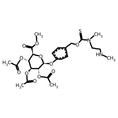 CNCCN(C)C(=S)OCc1ccc(O[C@@H]2O[C@H](C(=O)OC)[C@@H](OC(C)=O)[C@H](OC(C)=O)[C@H]2OC(C)=O)cc1